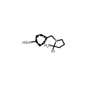 CCCCCCCCc1ccc(CN2CCCC2(N)CC)cc1